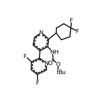 CC(C)(C)OC(=O)Nc1c(-c2ncc(F)cc2F)ccnc1C1CCC(F)(F)CC1